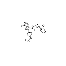 COc1ccc(-n2nc(C(N)=O)cc2C(=O)NC2CCN(N3CCOCC3=O)C2)cc1